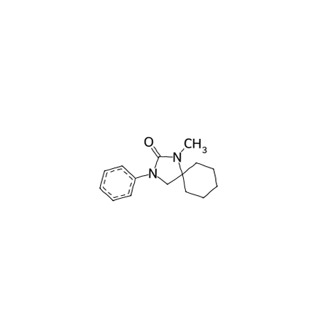 CN1C(=O)N(c2ccccc2)CC12CCCCC2